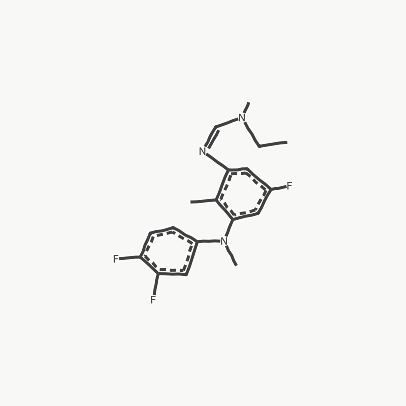 CCN(C)/C=N\c1cc(F)cc(N(C)c2ccc(F)c(F)c2)c1C